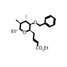 CCOC(=O)/C=C/C[C@H]1O[C@H](CC)[C@@H](C)[C@H](C)[C@H]1OCc1ccccc1